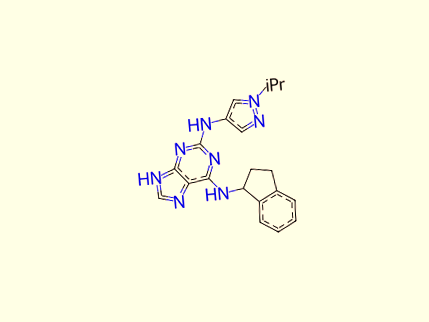 CC(C)n1cc(Nc2nc(NC3CCc4ccccc43)c3nc[nH]c3n2)cn1